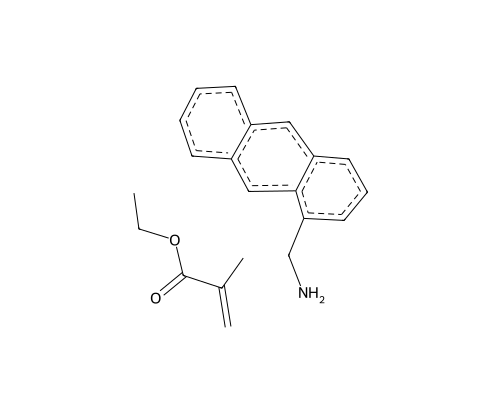 C=C(C)C(=O)OCC.NCc1cccc2cc3ccccc3cc12